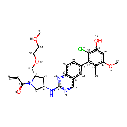 C=CC(=O)N1C[C@@H](Nc2ncc3cc(-c4c(C)c(OC)cc(O)c4Cl)ccc3n2)C[C@H]1COCCOC